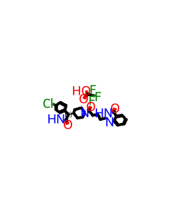 O=C(O)C(F)(F)F.O=C1Nc2cc(Cl)ccc2[C@H]1C1CCN(C(=O)CCCc2nc3ccccc3c(=O)[nH]2)CC1